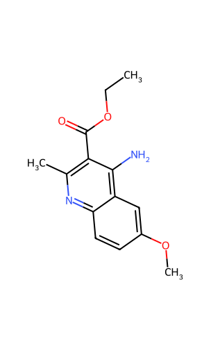 CCOC(=O)c1c(C)nc2ccc(OC)cc2c1N